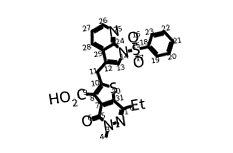 CCc1nn(C)c(=O)c2c(C(=O)O)c(Cc3cn(S(=O)(=O)c4ccccc4)c4ncccc34)sc12